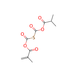 C=C(C)C(=O)OC(=O)SC(=O)OC(=O)C(C)C